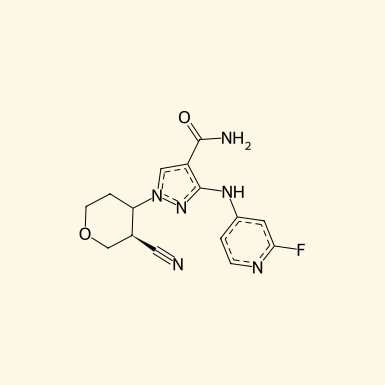 N#C[C@H]1COCCC1n1cc(C(N)=O)c(Nc2ccnc(F)c2)n1